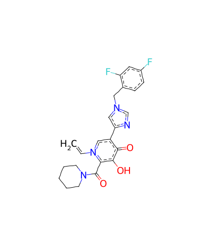 C=Cn1cc(-c2cn(Cc3ccc(F)cc3F)cn2)c(=O)c(O)c1C(=O)N1CCCCC1